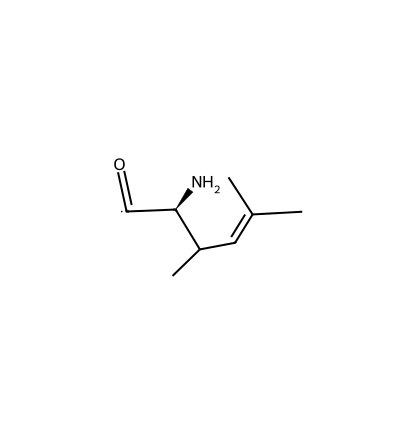 CC(C)=CC(C)[C@H](N)[C]=O